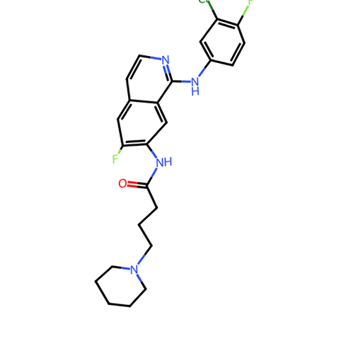 O=C(CCCN1CCCCC1)Nc1cc2c(Nc3ccc(F)c(Cl)c3)nccc2cc1F